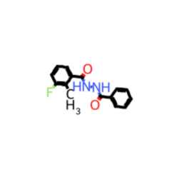 Cc1c(F)cccc1C(=O)NNC(=O)c1ccccc1